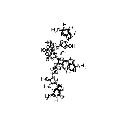 CC[C@H]1[C@@H](O)[C@H](n2c[n+](C)c3c(=O)[nH]c(N)nc32)O[C@@H]1COP(=O)(O)OP(=O)(O)OP(=O)(O)OC[C@H]1O[C@@H](n2cnc3c(N)ncnc32)[C@H](COC)[C@@H]1OP(=O)([O-])OC[C@H]1O[C@@H](n2cnc3c(=O)[nH]c(N)nc32)[C@H](O)[C@@H]1O